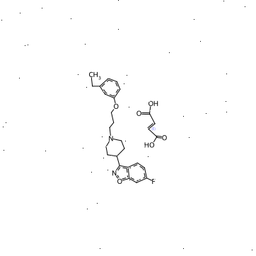 CCc1cccc(OCCCN2CCC(c3noc4cc(F)ccc34)CC2)c1.O=C(O)/C=C/C(=O)O